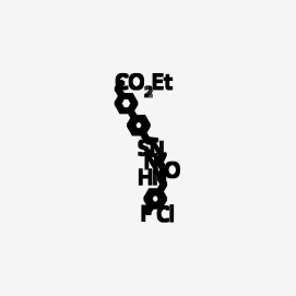 CCOC(=O)CC1CCC(c2ccc(-c3cn4cc(C(=O)NCc5ccc(F)c(Cl)c5)nc4s3)cc2)CC1